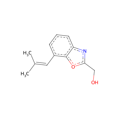 CC(C)=Cc1cccc2nc(CO)oc12